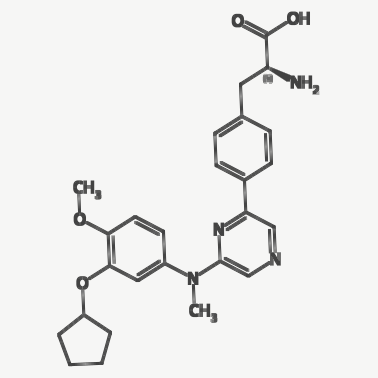 COc1ccc(N(C)c2cncc(-c3ccc(C[C@H](N)C(=O)O)cc3)n2)cc1OC1CCCC1